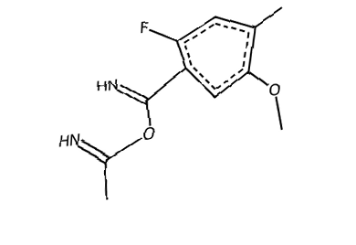 COc1cc(C(=N)OC(C)=N)c(F)cc1C